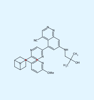 COc1ccc(CN2C3CC2CN(c2cnc(-c4cc(NCC(C)(C)O)cc5nncc(C#N)c45)cn2)C3)cn1